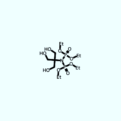 CCOP(=O)(OCC)N(C(CO)(CO)CO)P(=O)(OCC)OCC